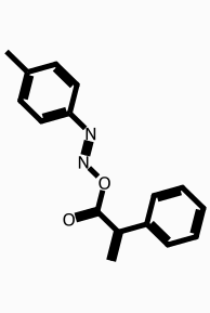 C=C(C(=O)ON=Nc1ccc(C)cc1)c1ccccc1